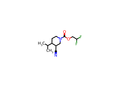 CC(C)C1CCN(C(=O)OCC(F)F)CC1C#N